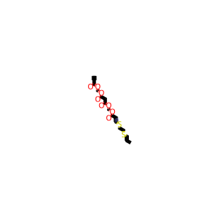 C#CC(=O)OCOC(=O)CC(=O)OCOC(=O)/C=C/SCCSC=CC